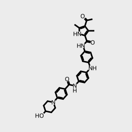 CC(=O)c1c(C)[nH]c(C(=O)Nc2ccc(Nc3ccc(NC(=O)c4ccc(N5CCC(O)CC5)cc4)cc3)cc2)c1C